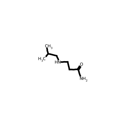 CC(C)CNCCC(N)=O